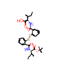 CCC(C)[C@H](NC(=O)c1ccccc1SSc1ccccc1C(=O)N[C@H](C(=O)OC(C)(C)C)C(C)CC)C(=O)O